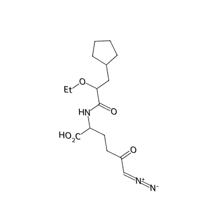 CCOC(CC1CCCC1)C(=O)NC(CCC(=O)C=[N+]=[N-])C(=O)O